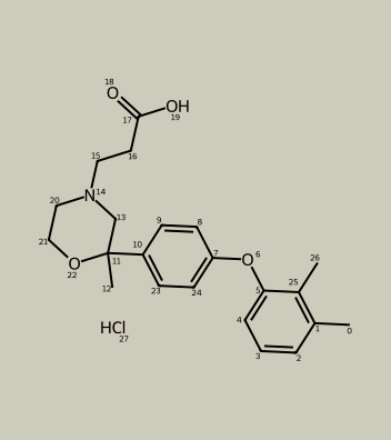 Cc1cccc(Oc2ccc(C3(C)CN(CCC(=O)O)CCO3)cc2)c1C.Cl